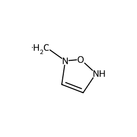 [CH2]N1C=CNO1